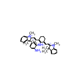 CN1/C(=C/C=C2\CCCC(/C=C/C3=[N+](C)c4ccccc4C3(C)C)=C2Nc2ccccc2N)C(C)(C)c2ccccc21